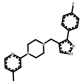 Cc1ccnc(N2CCN(Cc3c[nH]nc3-c3ccc(F)cc3)CC2)c1